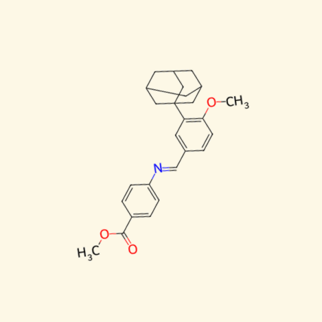 COC(=O)c1ccc(N=Cc2ccc(OC)c(C34CC5CC(CC(C5)C3)C4)c2)cc1